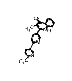 Cc1c(-c2ccc(-c3ccc(C(F)(F)F)nc3)nc2)[nH]c2ccccc2c1=O